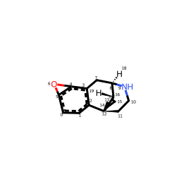 c1cc2c(c3c1O3)C[C@H]1NCC[C@@]23CCCC[C@@H]13